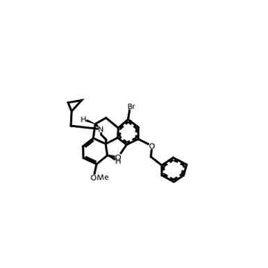 COC1=CC=C2[C@@H]3Cc4c(Br)cc(OCc5ccccc5)c5c4C2(CCN3CC2CC2)[C@@H]1O5